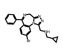 Brc1ccc2c(c1)-n1c(nnc1CNCC1CC1)CN=C2c1ccccc1